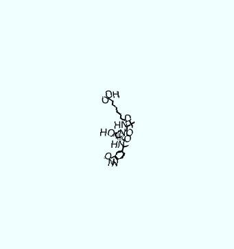 COc1nn(C)c2ccc(C(C)NC(=O)[C@@H]3C[C@@H](O)CN3C(=O)C(NC(=O)CCCCCCC(=O)O)C(C)(C)C)cc12